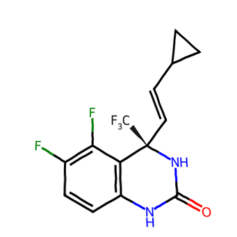 O=C1Nc2ccc(F)c(F)c2[C@@](/C=C/C2CC2)(C(F)(F)F)N1